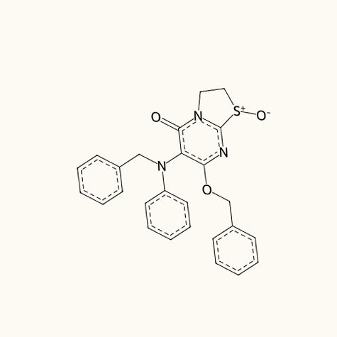 O=c1c(N(Cc2ccccc2)c2ccccc2)c(OCc2ccccc2)nc2n1CC[S+]2[O-]